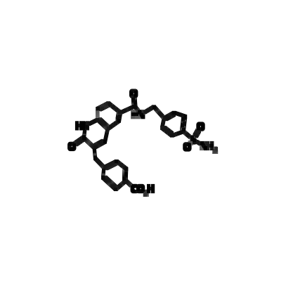 NS(=O)(=O)c1ccc(CNC(=O)c2ccc3[nH]c(=O)c(Cc4ccc(C(=O)O)cc4)cc3c2)cc1